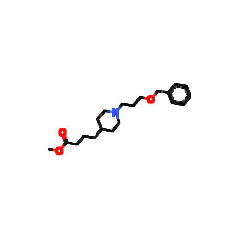 COC(=O)CCCC1CCN(CCCOCc2ccccc2)CC1